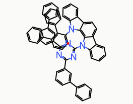 c1ccc(-c2cccc(-c3nc(-c4cccc(-c5ccccc5)c4)nc(-n4c5ccccc5c5ccc6c7ccccc7n(-c7cccc(-c8ccccc8)c7-c7ccccc7)c6c54)n3)c2)cc1